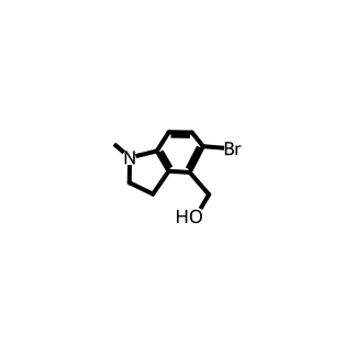 CN1CCc2c1ccc(Br)c2CO